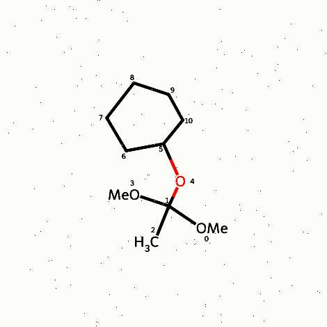 COC(C)(OC)OC1CCCCC1